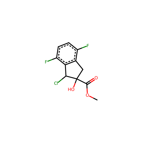 COC(=O)C1(O)Cc2c(F)ccc(F)c2C1Cl